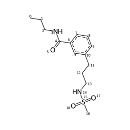 CCCNC(=O)c1cccc([CH]CCNS(C)(=O)=O)c1